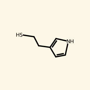 SCCc1cc[nH]c1